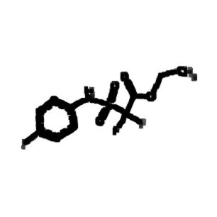 CCOC(=O)C(F)(F)S(=O)(=O)Nc1ccc(I)cc1